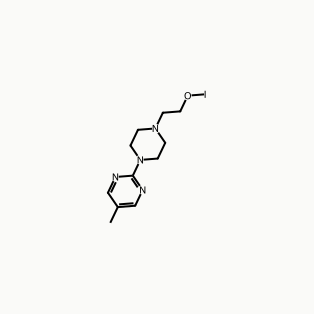 Cc1cnc(N2CCN(CCOI)CC2)nc1